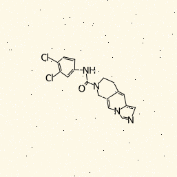 O=C(Nc1ccc(Cl)c(Cl)c1)N1CCc2cc3cncn3cc2C1